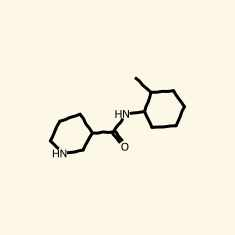 CC1CCCCC1NC(=O)C1CCCNC1